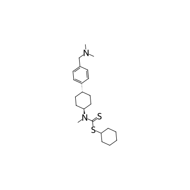 CN(C)Cc1ccc([C@H]2CC[C@H](N(C)C(=S)SC3CCCCC3)CC2)cc1